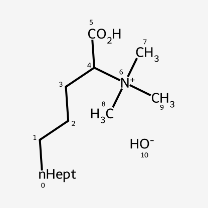 CCCCCCCCCCC(C(=O)O)[N+](C)(C)C.[OH-]